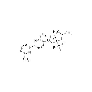 Cc1nccc(-c2ccc(OCC(N)(CC(C)C)C(F)(F)F)c(C)n2)n1